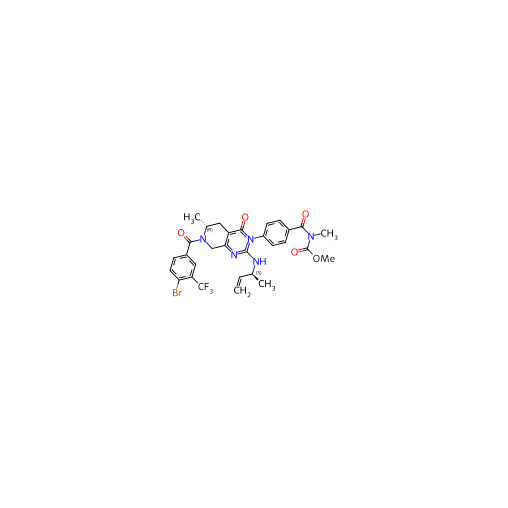 [CH2]OC(=O)N(C)C(=O)c1ccc(-n2c(N[C@@H](C)C=C)nc3c(c2=O)C[C@@H](C)N(C(=O)c2ccc(Br)c(C(F)(F)F)c2)C3)cc1